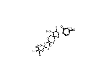 O=c1ccn([C@@H]2OC3(COP(=O)(OP(=O)(O)OP(=O)(O)O)OC3)[C@@H](O)[C@H]2F)c(=O)[nH]1